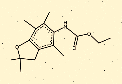 CCOC(=O)Nc1c(C)c(C)c2c(c1C)CC(C)(C)O2